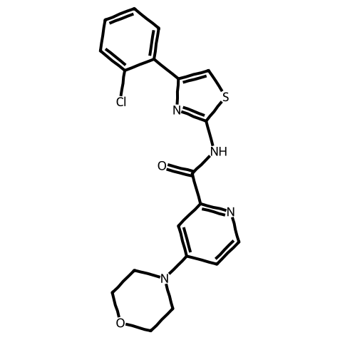 O=C(Nc1nc(-c2ccccc2Cl)cs1)c1cc(N2CCOCC2)ccn1